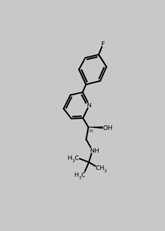 CC(C)(C)NC[C@H](O)c1cccc(-c2ccc(F)cc2)n1